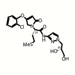 CSCC[C@@H](C(=O)Nc1ccn(C[C@@H](O)CO)n1)N1CC(Oc2ccccc2Cl)=CC1=O